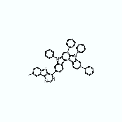 Cc1ccc2sc3c(-c4ccc5c6c7c8ccc(-c9ccccc9)cc8n(-c8ccccc8)c7c(-c7ccccc7)cc6n(-c6ccccc6)c5c4)ncnc3c2c1